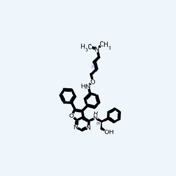 CN(C)C/C=C/CONc1cccc(-c2c(-c3ccccc3)oc3ncnc(N[C@H](CO)c4ccccc4)c23)c1